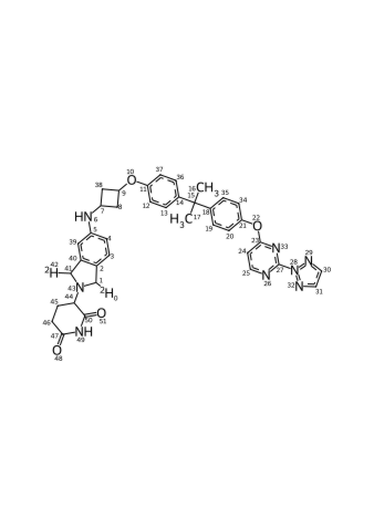 [2H]C1c2ccc(NC3CC(Oc4ccc(C(C)(C)c5ccc(Oc6ccnc(-n7nccn7)n6)cc5)cc4)C3)cc2C([2H])N1C1CCC(=O)NC1=O